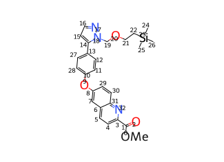 COC(=O)c1ccc2cc(Oc3ccc(-c4ccnn4COCC[Si](C)(C)C)cc3)ccc2n1